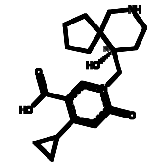 O=C(O)c1cn(C[C@]2(O)CCNCC23CCCC3)c(=O)cc1C1CC1